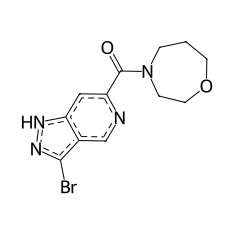 O=C(c1cc2[nH]nc(Br)c2cn1)N1CCCOCC1